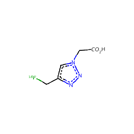 O=C(O)Cn1cc(C[18F])nn1